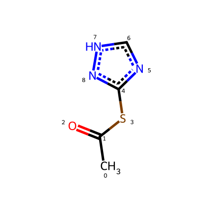 CC(=O)Sc1nc[nH]n1